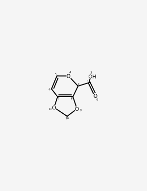 O=C(O)C1OC=CC2=C1OCO2